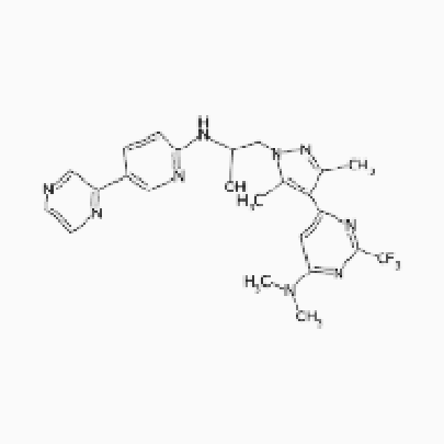 Cc1nn(CC(O)Nc2ccc(-c3cnccn3)cn2)c(C)c1-c1cc(N(C)C)nc(C(F)(F)F)n1